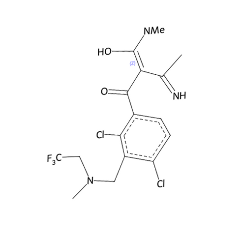 CN/C(O)=C(\C(C)=N)C(=O)c1ccc(Cl)c(CN(C)CC(F)(F)F)c1Cl